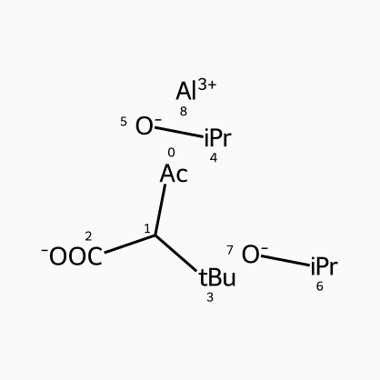 CC(=O)C(C(=O)[O-])C(C)(C)C.CC(C)[O-].CC(C)[O-].[Al+3]